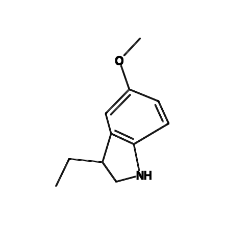 CCC1CNc2ccc(OC)cc21